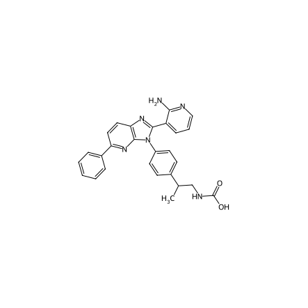 CC(CNC(=O)O)c1ccc(-n2c(-c3cccnc3N)nc3ccc(-c4ccccc4)nc32)cc1